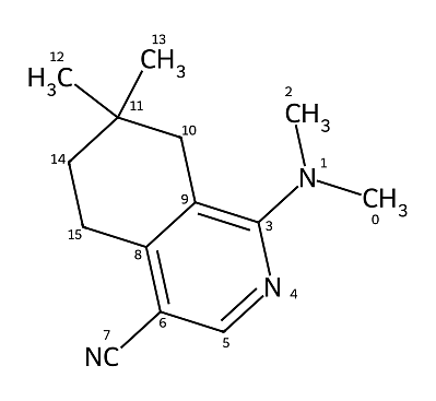 CN(C)c1ncc(C#N)c2c1CC(C)(C)CC2